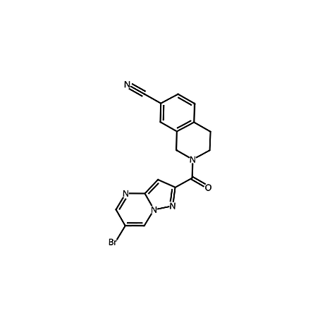 N#Cc1ccc2c(c1)CN(C(=O)c1cc3ncc(Br)cn3n1)CC2